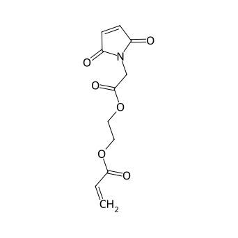 C=CC(=O)OCCOC(=O)CN1C(=O)C=CC1=O